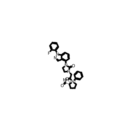 NC(=O)[C@H]1CCC[N+]1(C(=O)CN1CCN(c2cccc3c2cnn3-c2ccccc2F)C1=O)c1ccccc1